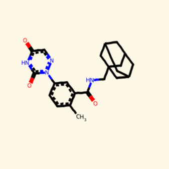 Cc1ccc(-n2ncc(=O)[nH]c2=O)cc1C(=O)NCC12CC3CC(CC(C3)C1)C2